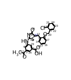 CC(=O)c1cc(NC2=NC(=O)/C(=C/c3ccccc3OCc3ccccc3Cl)S2)cc(C(=O)O)c1